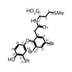 CSCC[C@H](NC(=O)Cc1cc(Br)cc(Br)c1Oc1ccc(O)c(C(C)C)c1)C(=O)O